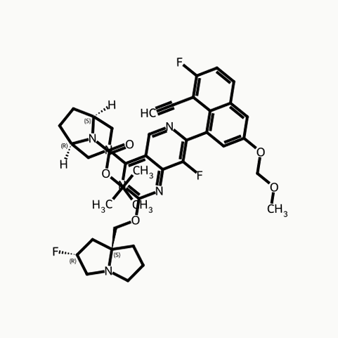 C#Cc1c(F)ccc2cc(OCOC)cc(-c3ncc4c(N5C[C@H]6CC[C@@H](C5)N6C(=O)OC(C)(C)C)nc(OC[C@@]56CCCN5C[C@H](F)C6)nc4c3F)c12